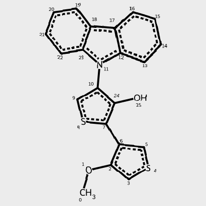 COc1cscc1-c1scc(-n2c3ccccc3c3ccccc32)c1O